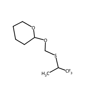 CC(SCOC1CCCCO1)C(F)(F)F